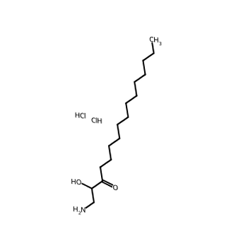 CCCCCCCCCCCCCC(=O)C(O)CN.Cl.Cl